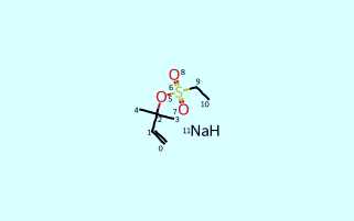 C=CC(C)(C)OS(=O)(=O)CC.[NaH]